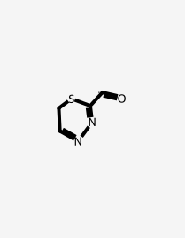 O=[C]C1=NN=CCS1